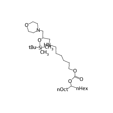 CCCCCCCCC(CCCCCC)OC(=O)OCCCCCCNCC(CN1CCOCC1)O[Si](C)(C)C(C)(C)C